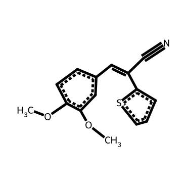 COc1ccc(C=C(C#N)c2cccs2)cc1OC